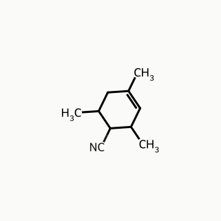 CC1=CC(C)C(C#N)C(C)C1